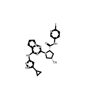 N#C[C@H]1C[C@@H](C(=O)Nc2ccc(F)nc2)N(c2nc(Nc3cc(C4CC4)[nH]n3)c3cccn3n2)C1